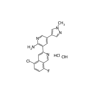 Cl.Cl.Cn1cc(-c2cnc(N)c(-c3cc4c(Cl)ccc(F)c4cn3)c2)cn1